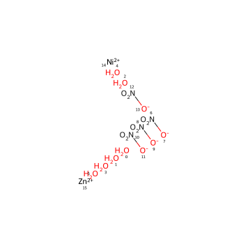 O.O.O.O.O.O.O=[N+]([O-])[O-].O=[N+]([O-])[O-].O=[N+]([O-])[O-].O=[N+]([O-])[O-].[Ni+2].[Zn+2]